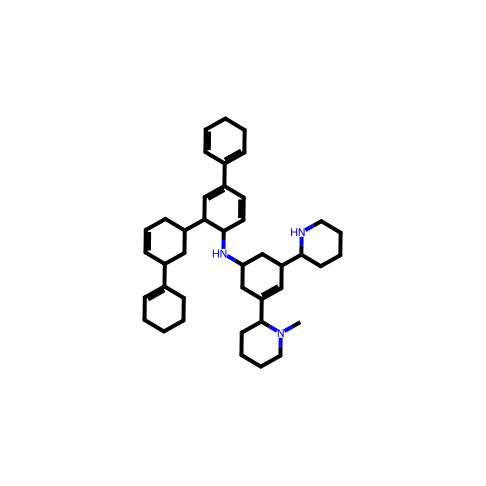 CN1CCCCC1C1=CC(C2CCCCN2)CC(NC2C=CC(C3=CCCC=C3)=CC2C2CC=CC(C3=CCCCC3)C2)C1